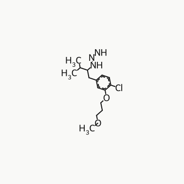 COCCCOc1cc(CC(NN=N)C(C)C)ccc1Cl